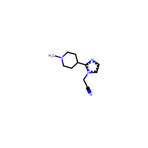 CN1CCC(c2nccn2CC#N)CC1